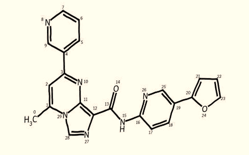 Cc1cc(-c2cccnc2)nc2c(C(=O)Nc3ccc(-c4ccco4)cn3)ncn12